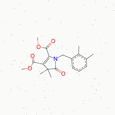 COC(=O)C1=C(C(=O)OC)C(C)(C)C(=O)N1Cc1cccc(C)c1C